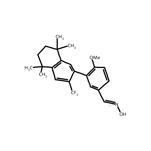 COc1ccc(/C=N/O)cc1-c1cc2c(cc1C(F)(F)F)C(C)(C)CCC2(C)C